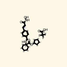 O=C(/C=C/c1ccc(CNC2(C(=O)OC3CCCC3)CCCCC2)cc1)NO.O=C(O)C(F)(F)F